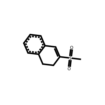 CS(=O)(=O)C1=Cc2ccccc2CC1